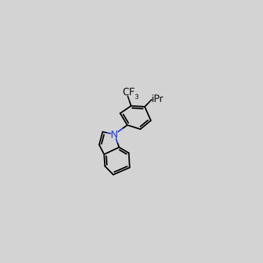 CC(C)c1ccc(-n2ccc3ccccc32)cc1C(F)(F)F